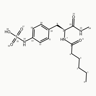 CCCCCC(=O)N[C@@H](Cc1ccc(NS(=O)(=O)O)cc1)C(=O)NC